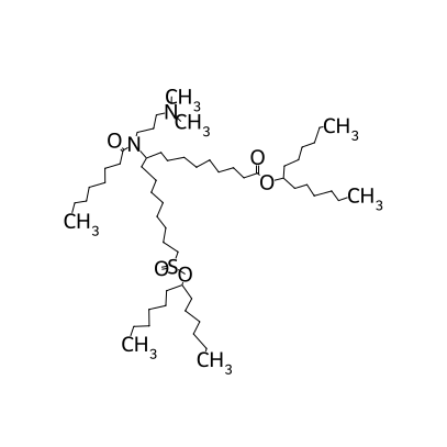 CCCCCCCC(=O)N(CCCN(C)C)C(CCCCCCCCC(=O)OC(CCCCCC)CCCCCC)CCCCCCCCS(=O)OC(CCCCCC)CCCCCC